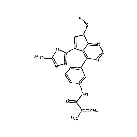 C=C(C)C(=O)Nc1cccc(-c2ncnc3c2c(-c2nnc(C)o2)cn3SF)c1